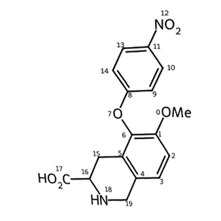 COc1ccc2c(c1Oc1ccc([N+](=O)[O-])cc1)CC(C(=O)O)NC2